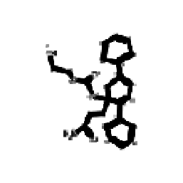 NC(=O)CCC1(NC(=O)OCCO)CC(c2ccccc2)=CC=C1c1ccccc1